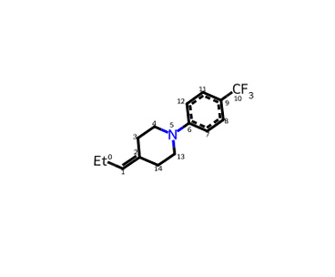 CCC=C1CCN(c2ccc(C(F)(F)F)cc2)CC1